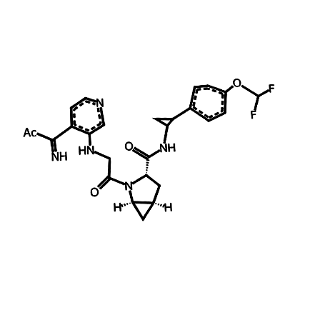 CC(=O)C(=N)c1ccncc1NCC(=O)N1[C@@H]2C[C@@H]2C[C@H]1C(=O)NC1CC1c1ccc(OC(F)F)cc1